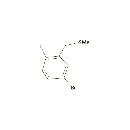 CSCc1cc(Br)ccc1I